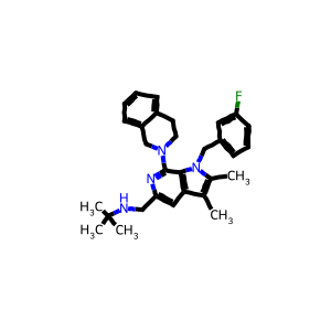 Cc1c(C)n(Cc2cccc(F)c2)c2c(N3CCc4ccccc4C3)nc(CNC(C)(C)C)cc12